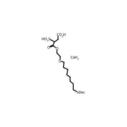 CCCCCCCCCCCCCCCCCCOCCOC(=O)C(CC(=O)O)S(=O)(=O)O.[CaH2]